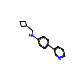 c1cncc(-c2ccc(NCC3CCC3)cc2)c1